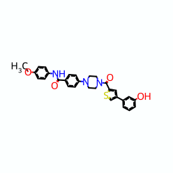 COc1ccc(NC(=O)c2ccc(N3CCN(C(=O)c4cc(-c5cccc(O)c5)cs4)CC3)cc2)cc1